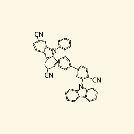 N#Cc1ccc2c3c(n(-c4ccccc4-c4cccc(-c5ccc(C#N)c(-n6c7ccccc7c7ccccc76)c5)c4)c2c1)C=CC(C#N)C3